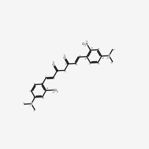 CN(C)c1ccc(C=CC(=O)CC(=O)C=Cc2ccc(N(C)C)cc2[N+](=O)[O-])c([N+](=O)[O-])c1